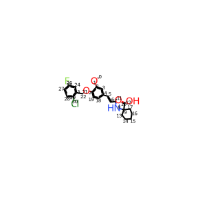 COc1cc(/C=C/CNC2(C(=O)O)CCCCC2)ccc1OCc1cc(F)ccc1Cl